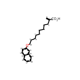 C=C(CCCCCCCCCOc1ccc2ccccc2c1)C(=O)O